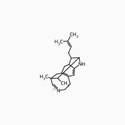 CC(C)=CCC1C2CC3=C4C=C2NC1C(C)C(C)(/C=N\CC4)C3